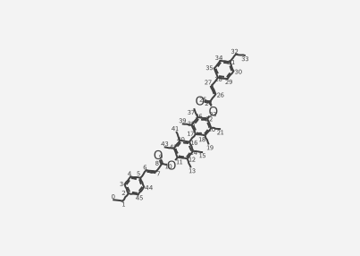 CCc1ccc(/C=C/C(=O)Oc2c(C)c(C)c(-c3c(C)c(C)c(OC(=O)/C=C/c4ccc(CC)cc4)c(C)c3C)c(C)c2C)cc1